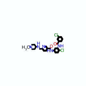 CN1CCC(NCc2ccc(C(=O)Nc3ccc(Cl)c(NC(=O)c4cccc(Cl)c4)c3)cn2)CC1